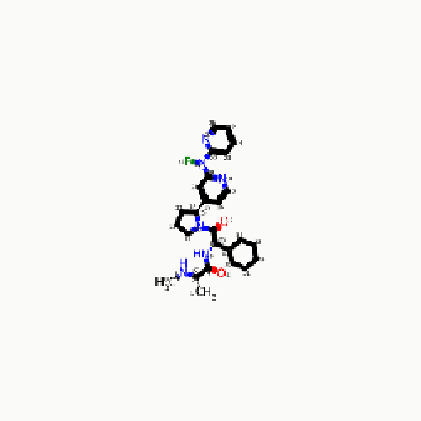 CN[C@@H](C)C(=O)N[C@H](C(=O)N1CCC[C@H]1c1ccnc(N(F)c2ccccn2)c1)C1CCCCC1